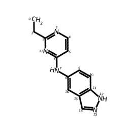 CCc1nccc(Nc2ccc3[nH]ncc3c2)n1